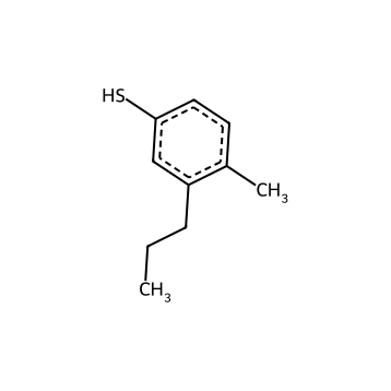 CCCc1cc(S)ccc1C